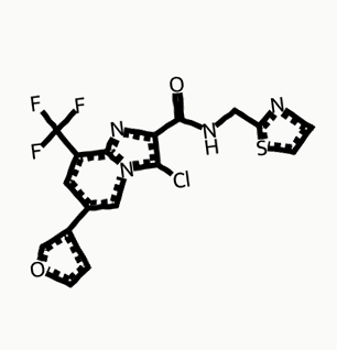 O=C(NCc1nccs1)c1nc2c(C(F)(F)F)cc(-c3ccoc3)cn2c1Cl